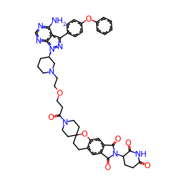 Nc1ncnc2c1c(-c1ccc(Oc3ccccc3)cc1)nn2[C@@H]1CCCN(CCOCCC(=O)N2CCC3(CCc4cc5c(cc4O3)C(=O)N(C3CCC(=O)NC3=O)C5=O)CC2)C1